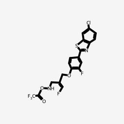 O=C(ONCC(=CF)COc1ccc(-c2nc3ccc(Cl)cc3s2)cc1F)C(F)(F)F